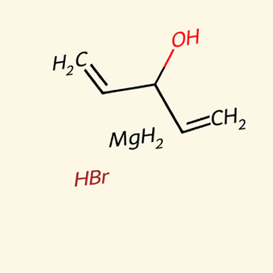 Br.C=CC(O)C=C.[MgH2]